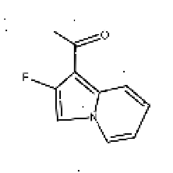 CC(=O)c1c(F)cn2ccccc12